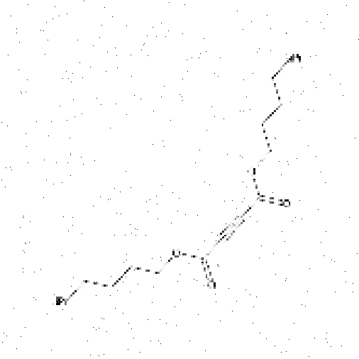 CC(C)CCCCOC(=O)C#CC(=O)OCCCCC(C)C